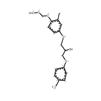 Cc1cc(OCC(O)COc2ccc(C(F)(F)F)cc2)ccc1OCOC=O